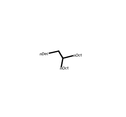 CCCCCCCCCCC[C](CCCCCCCC)CCCCCCCC